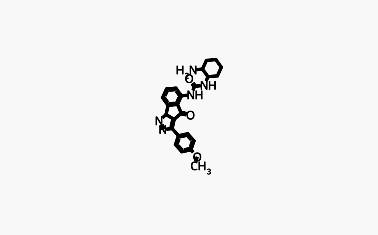 COc1ccc(C2=C3C(=O)c4c(NC(=O)NC5CCCCC5N)cccc4C3N=N2)cc1